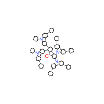 O=C1c2cc(-n3c4ccc(-c5ccccc5)cc4c4cc(-c5ccccc5)ccc43)cc(-n3c4ccc(-c5ccccc5)cc4c4cc(-c5ccccc5)ccc43)c2-c2ccc(-c3ccc4c(c3)c3cc(-c5ccccc5)ccc3n4-c3ccccc3)c(-c3ccc4c(c3)c3cc(-c5ccccc5)ccc3n4-c3ccccc3)c21